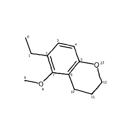 CCc1ccc2c(c1OC)CCCO2